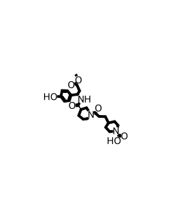 COC(=O)CC(NC(=O)[C@@H]1CCCN(C(=O)CCC2CCN(C(=O)O)CC2)C1)c1ccc(O)cc1